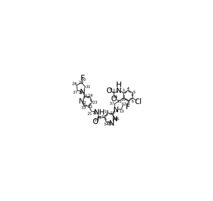 O=C1Nc2ccc(Cl)c(F)c2[C@]2(CCN(c3cc(C(=O)NCc4ccc(N5CC[C@H](F)C5)nc4)cnn3)C2)O1